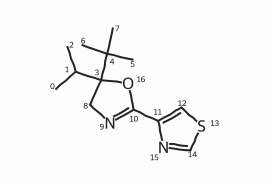 CC(C)C1(C(C)(C)C)CN=C(c2cscn2)O1